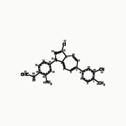 Cc1ccc(C2=CC=C3C(C=C2)C(Cl)=NN3c2ccc(BC=O)c(P)c2)cc1C#N